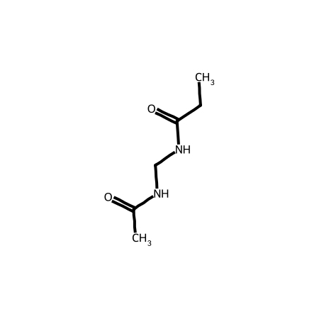 CCC(=O)NCNC(C)=O